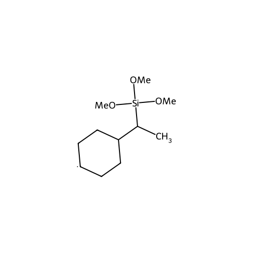 CO[Si](OC)(OC)C(C)C1CC[CH]CC1